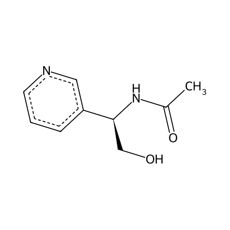 CC(=O)N[C@@H](CO)c1cccnc1